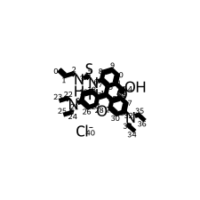 C=CCNC(=S)Nc1cccc(C(=O)O)c1-c1c2ccc(N(CC)CC)cc2[o+]c2cc(N(CC)CC)ccc12.[Cl-]